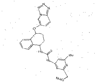 COCc1nc(NC(=O)NC2CCC(Oc3ccc4nncn4c3)c3ccccc32)cc(C(C)(C)C)n1